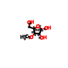 CO[C@@H]1[C@@H](O)[C@@H](O)O[C@@H]1CO